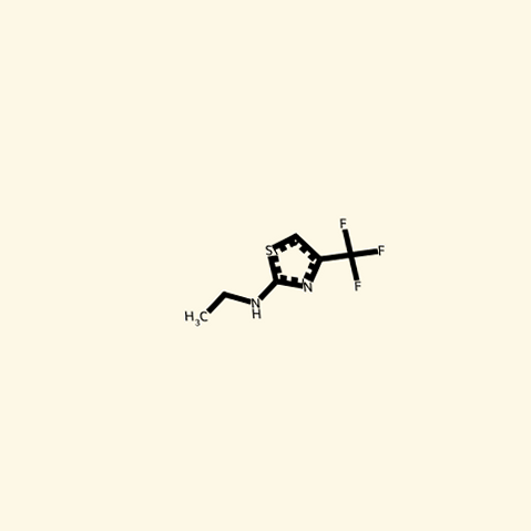 CCNc1nc(C(F)(F)F)cs1